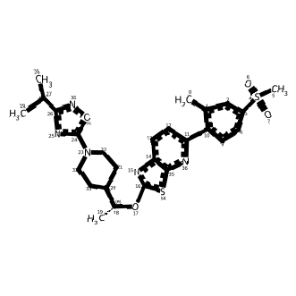 Cc1cc(S(C)(=O)=O)ccc1-c1ccc2nc(O[C@H](C)C3CCN(c4nc(C(C)C)no4)CC3)sc2n1